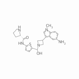 Cn1cc(C2CN(C(O)c3ccc(NC(=O)[C@@H]4CCCN4)s3)C2)c2cc(N)ccc21